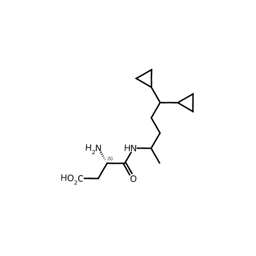 CC(CCC(C1CC1)C1CC1)NC(=O)[C@@H](N)CC(=O)O